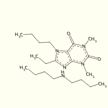 CCCCNCCCC.CCCCn1c(CC)nc2c1c(=O)n(C)c(=O)n2C